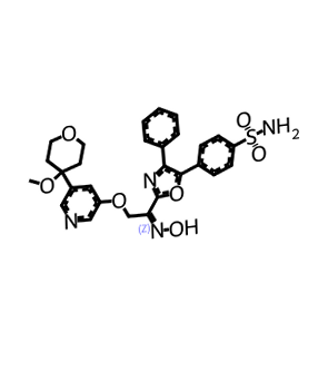 COC1(c2cncc(OC/C(=N/O)c3nc(-c4ccccc4)c(-c4ccc(S(N)(=O)=O)cc4)o3)c2)CCOCC1